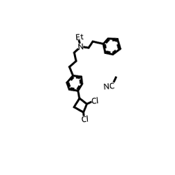 CC#N.CCN(CCCc1ccc(C2CC(Cl)C2Cl)cc1)CCc1ccccc1